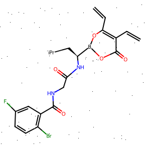 C=CC1=C(C=C)C(=O)OB([C@H](CC(C)C)NC(=O)CNC(=O)c2cc(F)ccc2Br)O1